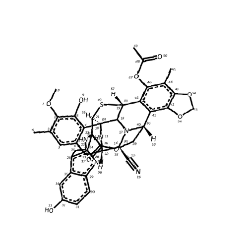 COc1c(C)cc2c(c1O)[C@@H]1N[C@@H](C2)[C@H](C#N)N2C1[C@@H]1SC[C@]3(NCCc4c3[nH]c3ccc(O)cc43)C(=O)OC[C@H]2c2c3c(c(C)c(OC(C)=O)c21)OCO3